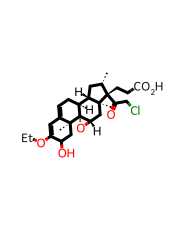 CCOC1=CC2=CC[C@H]3[C@@H]4C[C@H](C)[C@](CCC(=O)O)(C(=O)CCl)[C@@]4(C)C[C@@H]4O[C@@]43[C@@]2(C)CC1O